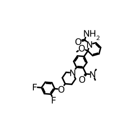 COC1(c2ccc(N3CCC(Oc4ccc(F)cc4F)CC3)c(C(=O)N(C)C)c2)C=CC=CN1C(N)=O